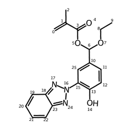 C=C(C)C(=O)OC(OCC)c1ccc(O)c(-n2nc3ccccc3n2)c1